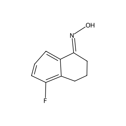 O/N=C1\CCCc2c(F)cccc21